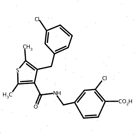 Cc1sc(C)c(C(=O)NCc2ccc(C(=O)O)c(Cl)c2)c1Cc1cccc(Cl)c1